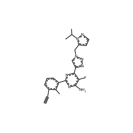 C#Cc1cccc(-c2nc(N)c(F)c(-c3cn(Cc4ccnn4C(C)C)nn3)n2)c1C